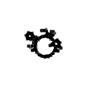 CO[C@@H]1C2COP(=O)(Oc3ccccc3)N[C@@H](C)C(=O)OCCC=CCCC(=O)n3c(=O)ccn(c3=O)C(O2)[C@]1(C)F